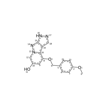 COc1ccc(COc2cc(O)cn3nc4[nH]ncc4c23)cc1